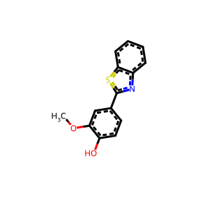 COc1cc(-c2nc3ccccc3s2)ccc1O